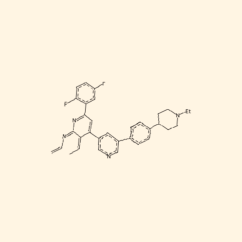 C=C/N=C1/N=C(c2cc(F)ccc2F)C=C(c2cncc(-c3ccc(C4CCN(CC)CC4)cc3)c2)/C1=C/C